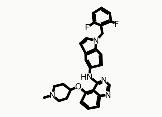 CN1CCC(Oc2cccc3ncnc(Nc4ccc5c(ccn5Cc5c(F)cccc5F)c4)c23)CC1